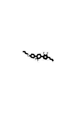 C=CCCc1ccc(C2CCC(C3CCC(OCCCC)CC3)C(F)(F)C2)c(F)c1F